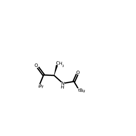 CC(C)C(=O)[C@@H](C)NC(=O)C(C)(C)C